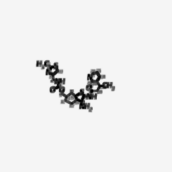 Cc1nc(CNC(=O)OCC2CCc3c(sc(NC(=O)CC(C)c4cccnc4)c3N)C2)cs1